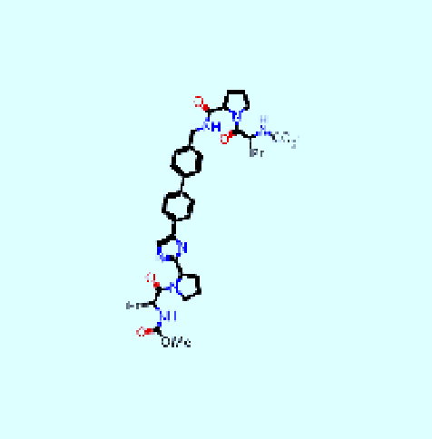 COC(=O)NC(C(=O)N1CCCC1c1ncc(-c2ccc(-c3ccc(CNC(=O)C4CCCN4C(=O)[C@@H](NC(=O)O)C(C)C)cc3)cc2)[nH]1)C(C)C